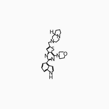 c1cc(-c2nc(N3CCOCC3)c3sc(CN4CCN5CCC[C@H]5C4)cc3n2)c2cc[nH]c2c1